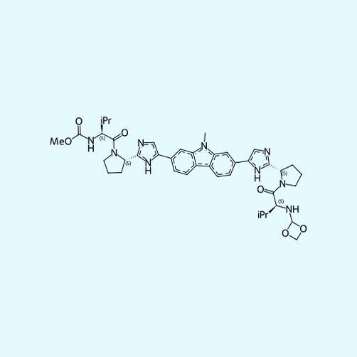 COC(=O)N[C@H](C(=O)N1CCC[C@H]1c1ncc(-c2ccc3c4ccc(-c5cnc([C@@H]6CCCN6C(=O)[C@@H](NC6OCO6)C(C)C)[nH]5)cc4n(C)c3c2)[nH]1)C(C)C